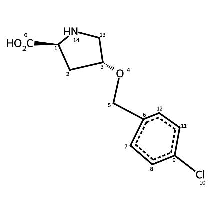 O=C(O)[C@@H]1C[C@@H](OCc2ccc(Cl)cc2)CN1